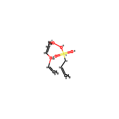 C=CCS(=O)(=O)OO.C=COC=C